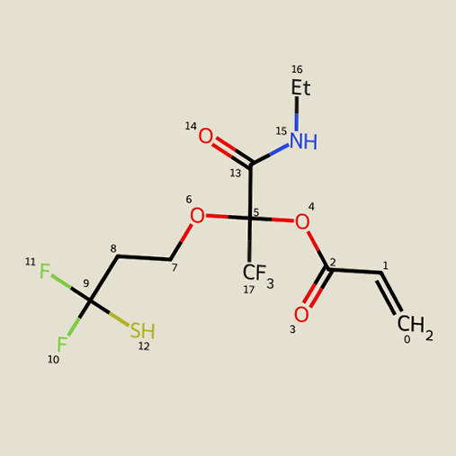 C=CC(=O)OC(OCCC(F)(F)S)(C(=O)NCC)C(F)(F)F